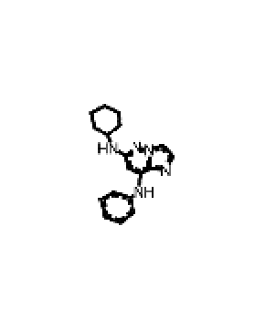 c1ccc(Nc2cc(NC3CCCCC3)nn3ccnc23)cc1